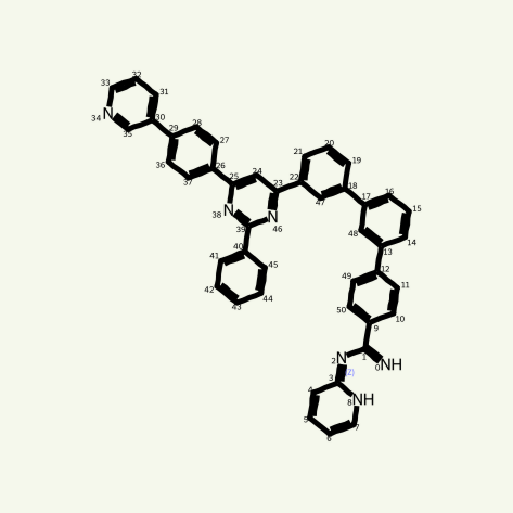 N=C(/N=c1/cccc[nH]1)c1ccc(-c2cccc(-c3cccc(-c4cc(-c5ccc(-c6cccnc6)cc5)nc(-c5ccccc5)n4)c3)c2)cc1